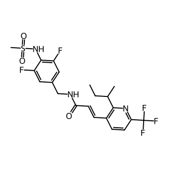 CCC(C)c1nc(C(F)(F)F)ccc1C=CC(=O)NCc1cc(F)c(NS(C)(=O)=O)c(F)c1